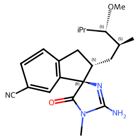 CO[C@@H](C(C)C)[C@@H](C)C[C@H]1Cc2ccc(C#N)cc2[C@]12N=C(N)N(C)C2=O